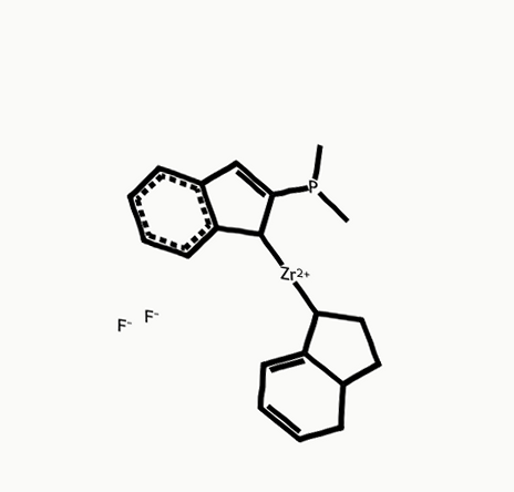 CP(C)C1=Cc2ccccc2[CH]1[Zr+2][CH]1CCC2CC=CC=C21.[F-].[F-]